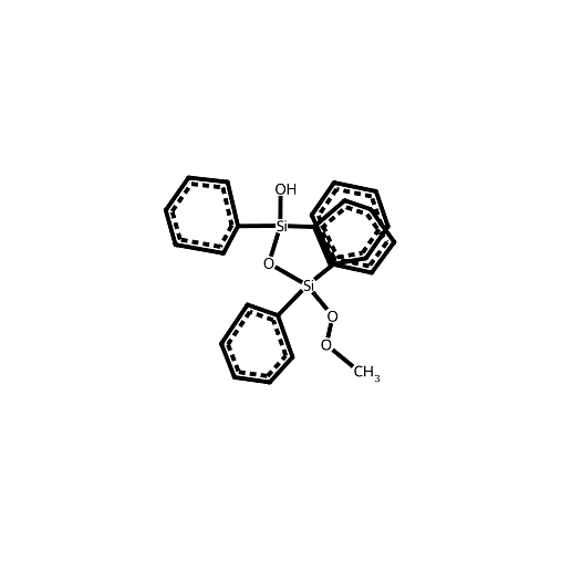 COO[Si](O[Si](O)(c1ccccc1)c1ccccc1)(c1ccccc1)c1ccccc1